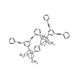 CC12CC3(C)CC(c4ccc(C56CC7(C)CC(C)(C5)CC(c5cc(C#Cc8ccccc8)cc(C#Cc8ccccc8)c5)(C7)C6)cc4)(C1)CC(c1cc(C#Cc4ccccc4)cc(C#Cc4ccccc4)c1)(C2)C3